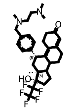 CN(C)CCN(C)Cc1ccc([C@H]2C[C@@]3(C)C(CC[C@@]3(O)C(F)(F)C(F)(F)F)C3CCC4=CC(=O)CCC4=C32)cc1